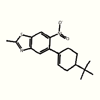 Cc1nc2cc(C3=CCC(C(C)(C)C)CC3)c([N+](=O)[O-])cc2s1